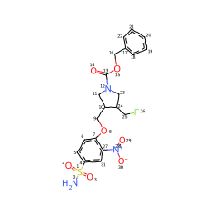 NS(=O)(=O)c1ccc(OCC2CN(C(=O)OCc3ccccc3)CC2CF)c([N+](=O)[O-])c1